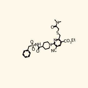 CCOC(=O)c1cc(C#N)c(N2CCC(C(=O)NS(=O)(=O)Cc3ccccc3)CC2)nc1CSCC(=O)N(C)C